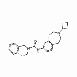 O=C(Nc1ccc2c(c1)CCN(C1CCC1)CC2)N1CCc2ccccc2C1